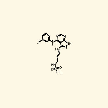 CS(=O)(=O)NCCCNc1n[nH]c2ncnc(Nc3cccc(Cl)c3)c12